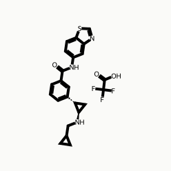 O=C(Nc1ccc2scnc2c1)c1cccc([C@@H]2C[C@H]2NCC2CC2)c1.O=C(O)C(F)(F)F